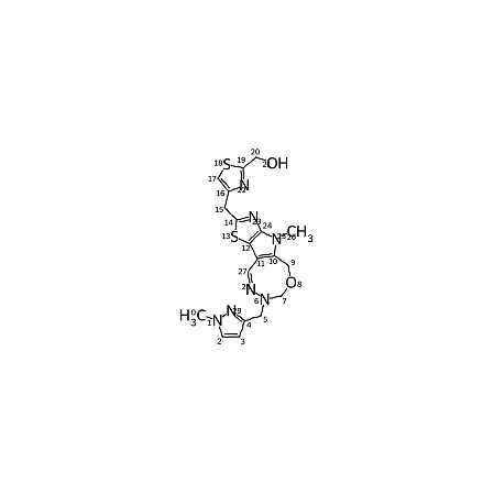 Cn1ccc(CN2COCc3c(c4sc(Cc5csc(CO)n5)nc4n3C)/C=N\2)n1